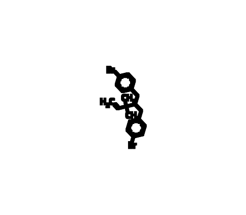 C=CC(C)(C)C(Cc1ccc(Br)cc1)Cc1ccc(Br)cc1